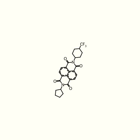 O=C1c2ccc3c4c(ccc(c24)C(=O)N1C1CCCC1)C(=O)N(C1CCC(C(F)(F)F)CC1)C3=O